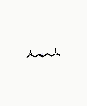 CN(C)C/C=C/CCN(C)C